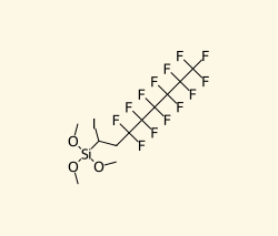 CO[Si](OC)(OC)C(I)CC(F)(F)C(F)(F)C(F)(F)C(F)(F)C(F)(F)C(F)(F)F